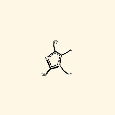 Cc1c(C(C)C)nc(C(C)(C)C)n1C(C)C